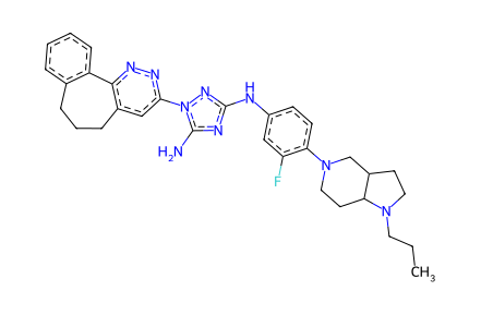 CCCN1CCC2CN(c3ccc(Nc4nc(N)n(-c5cc6c(nn5)-c5ccccc5CCC6)n4)cc3F)CCC21